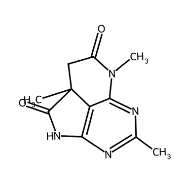 Cc1nc2c3c(n1)N(C)C(=O)CC3(C)C(=O)N2